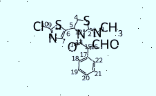 C/N=C1\SCC(c2cnc(Cl)s2)N1C(=O)C(C=O)c1ccccc1